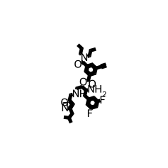 C#Cc1cc(C(=O)OC(CNCc2cc(CC(C)C)no2)C(N)Cc2cc(F)cc(F)c2)cc(C(=O)N(CCC)CCC)c1